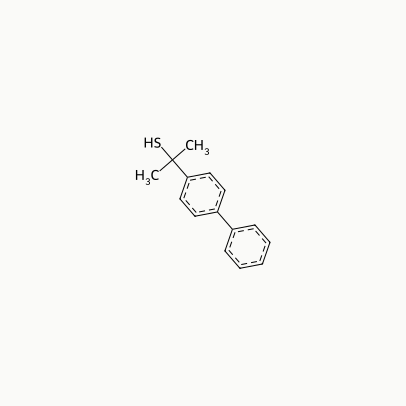 CC(C)(S)c1ccc(-c2ccccc2)cc1